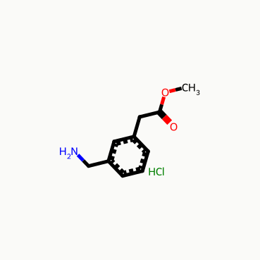 COC(=O)Cc1cccc(CN)c1.Cl